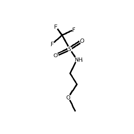 COCCNS(=O)(=O)C(F)(F)F